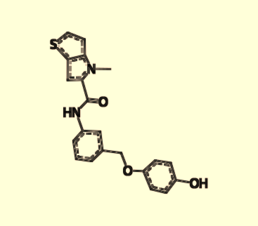 Cn1c(C(=O)Nc2cccc(COc3ccc(O)cc3)c2)cc2sccc21